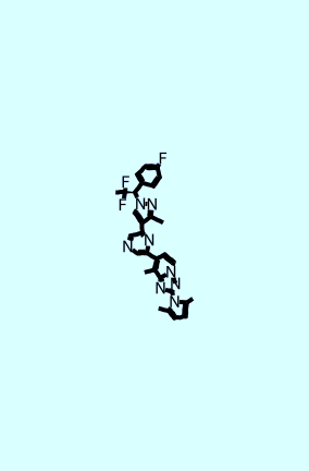 Cc1nn([C@H](c2ccc(F)cc2)C(C)(F)F)cc1-c1cncc(-c2ccn3nc(-n4c(C)ccc4C)nc3c2C)n1